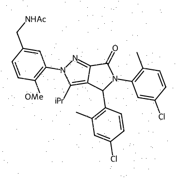 COc1ccc(CNC(C)=O)cc1-n1nc2c(c1C(C)C)C(c1ccc(Cl)cc1C)N(c1cc(Cl)ccc1C)C2=O